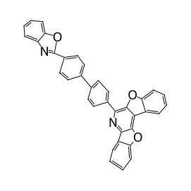 c1ccc2oc(-c3ccc(-c4ccc(-c5nc6c7ccccc7oc6c6c5oc5ccccc56)cc4)cc3)nc2c1